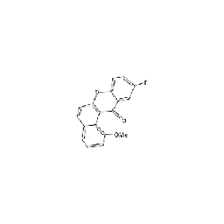 COc1cccc2ccc3oc4ccc(F)cc4c(=O)c3c12